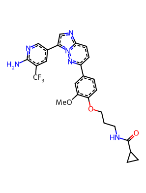 COc1cc(-c2ccc3ncc(-c4cnc(N)c(C(F)(F)F)c4)n3n2)ccc1OCCCNC(=O)C1CC1